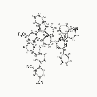 N#Cc1ccc(-c2ccc3c(c2)c2ccccc2n3-c2cc(-c3nc(-c4ccccc4)nc(-c4ccccc4)n3)ccc2-c2ccc(C(F)(F)F)cc2-n2c3ccccc3c3cc(-c4ccc(C#N)cc4C#N)ccc32)c(C#N)c1